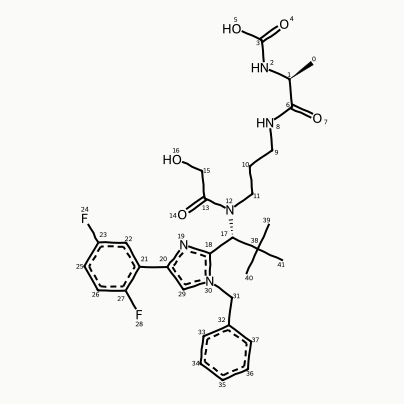 C[C@H](NC(=O)O)C(=O)NCCCN(C(=O)CO)[C@@H](c1nc(-c2cc(F)ccc2F)cn1Cc1ccccc1)C(C)(C)C